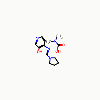 CN(C)C(=O)O.Oc1cnccc1N=CN1CCCC1